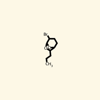 CCCC1OC2OC1CCC2Br